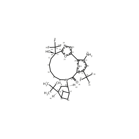 CC(C)(C)[C@H]1C[C@@H](N2CCCCC[C@](O)(C(F)(F)F)c3nnc(o3)-c3nc(c(C(F)(F)F)cc3N)C2=O)C2CC1C2